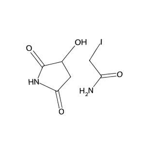 NC(=O)CI.O=C1CC(O)C(=O)N1